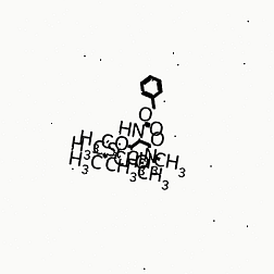 CON(C)C(=O)[C@@H](NC(=O)OCc1ccccc1)[C@@H](C)O[Si](C)(C)C(C)(C)C